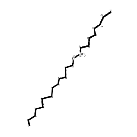 CCCCCCCCCCCCCO[SiH2]CCCCCCCC